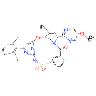 Cc1cccc(C)c1-c1cc2nc(n1)NS(=O)(=O)c1cccc(c1)C(=O)N1CC(O2)C(C(C)C)CC1c1ncc(OC(C)C)cn1